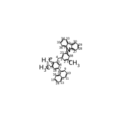 Cc1cc(Cc2cc(-c3cccc4ccccc34)cc(C)c2C)cc(-n2c3ccccc3c3ccccc32)c1